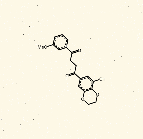 COc1cccc(C(=O)CCC(=O)c2cc(O)c3c(c2)OCCO3)c1